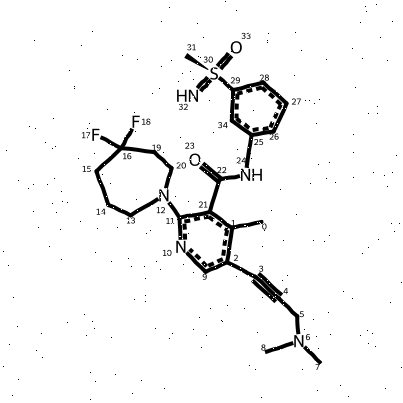 Cc1c(C#CCN(C)C)cnc(N2CCCC(F)(F)CC2)c1C(=O)Nc1cccc([S@](C)(=N)=O)c1